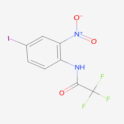 O=C(Nc1ccc(I)cc1[N+](=O)[O-])C(F)(F)F